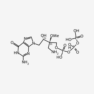 CO[C@](CN)(COP(=O)(O)OP(=O)(O)OP(=O)(O)O)[C@@H](O)Cn1cnc2c(=O)[nH]c(N)nc21